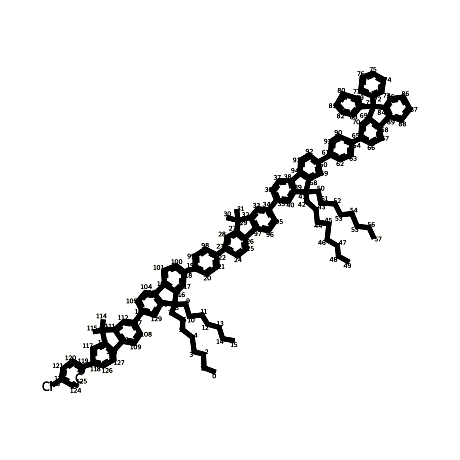 CCCCCCCCC1(CCCCCCC)c2cc(-c3ccc(-c4ccc5c(c4)C(C)(C)c4cc(-c6ccc7c(c6)C(CCCCCCCC)(CCCCCCCC)c6cc(-c8ccc(-c9ccc%10c(c9)C(c9ccccc9)(c9ccccc9)c9ccccc9-%10)cc8)ccc6-7)ccc4-5)cc3)ccc2-c2ccc(-c3ccc4c(c3)C(C)(C)c3cc(-c5ccc(Cl)cc5)ccc3-4)cc21